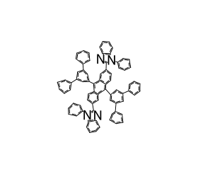 c1ccc(-c2cc(-c3ccccc3)cc(-c3c4ccc(-c5nc6ccccc6n5-c5ccccc5)cc4c(-c4cc(-c5ccccc5)cc(-c5ccccc5)c4)c4ccc(-c5nc6ccccc6n5-c5ccccc5)cc34)c2)cc1